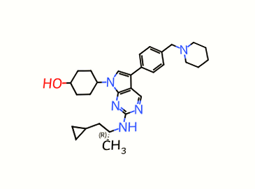 C[C@H](CC1CC1)Nc1ncc2c(-c3ccc(CN4CCCCC4)cc3)cn(C3CCC(O)CC3)c2n1